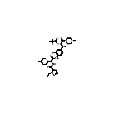 CCn1nccc1C(=O)N[C@H](C(=O)Nc1ccc([C@H](C)[C@@H](NC(=O)C(C)(F)F)C(=O)N2CCN(C)CC2)cc1F)[C@H]1CC[C@H](C)CC1